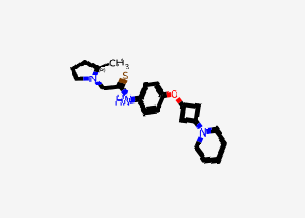 C[C@@H]1CCCN1CC(=S)Nc1ccc(OC2CC(N3CCCCC3)C2)cc1